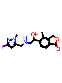 Cc1c(C(O)CNCc2cc(I)nn2C)ccc2c1COC2=O